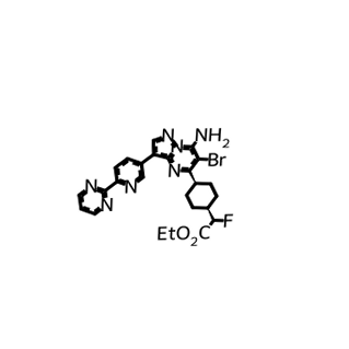 CCOC(=O)C(F)[C@H]1CC[C@@H](c2nc3c(-c4ccc(-c5ncccn5)nc4)cnn3c(N)c2Br)CC1